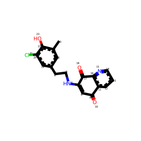 Cc1cc(CCNC2=CC(=O)c3cccnc3C2=O)cc(Cl)c1O